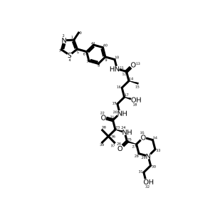 Cc1ncsc1-c1ccc(CNC(=O)[C@@H](C)C[C@@H](O)CNC(=O)[C@@H](NC(=O)[C@@H]2CN(CCO)CCO2)C(C)(C)C)cc1